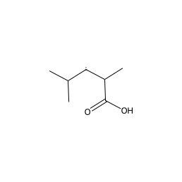 CC(C)[CH]C(C)C(=O)O